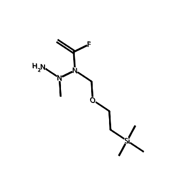 C=C(F)N(COCC[Si](C)(C)C)N(C)N